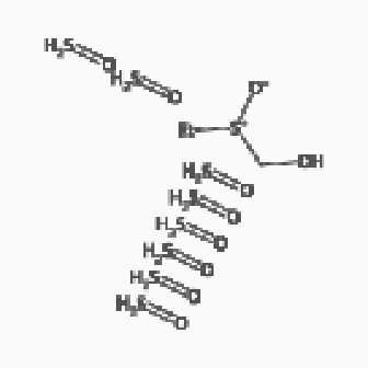 CC[S+]([O-])CO.O=[SH2].O=[SH2].O=[SH2].O=[SH2].O=[SH2].O=[SH2].O=[SH2].O=[SH2]